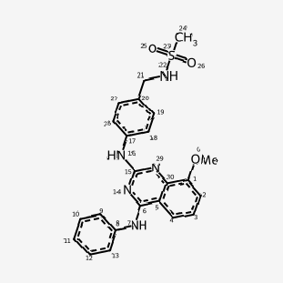 COc1cccc2c(Nc3ccccc3)nc(Nc3ccc(CNS(C)(=O)=O)cc3)nc12